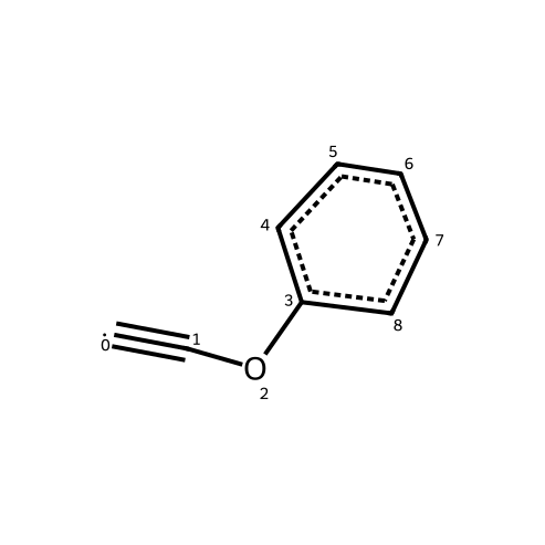 [C]#COc1ccccc1